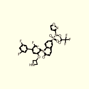 O=C(ON(c1ccon1)S(=O)(=O)c1ccc2c(ccc(=O)n2-c2cc(F)c(-c3cc(F)cc(F)c3)cc2OC2CNC2)c1)C(F)(F)F